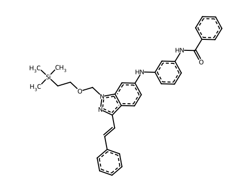 C[Si](C)(C)CCOCn1nc(/C=C/c2ccccc2)c2ccc(Nc3cccc(NC(=O)c4ccccc4)c3)cc21